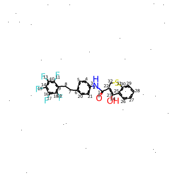 O=C(Nc1ccc(CCc2c(F)c(F)c(F)c(F)c2F)cc1)C1=C(O)c2ccccc2SC1